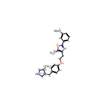 COc1cccc(-c2nc(CCOc3ccc(C[C@H]4CNC[C@H]4C)cc3)c(C)o2)c1